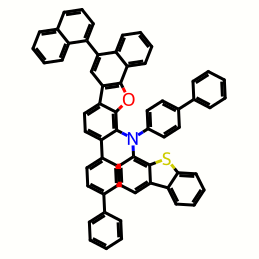 c1ccc(-c2ccc(-c3ccc4c(oc5c6ccccc6c(-c6cccc7ccccc67)cc45)c3N(c3ccc(-c4ccccc4)cc3)c3cccc4c3sc3ccccc34)cc2)cc1